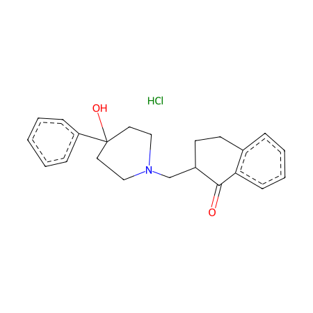 Cl.O=C1c2ccccc2CCC1CN1CCC(O)(c2ccccc2)CC1